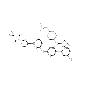 CN(C)CC1CCC(N(c2cc(Nc3ccnc(-c4cnn(S(=O)(=O)C5CC5)c4)n3)ncc2-c2cc(N)ccn2)C2CC(F)(F)C2)CC1